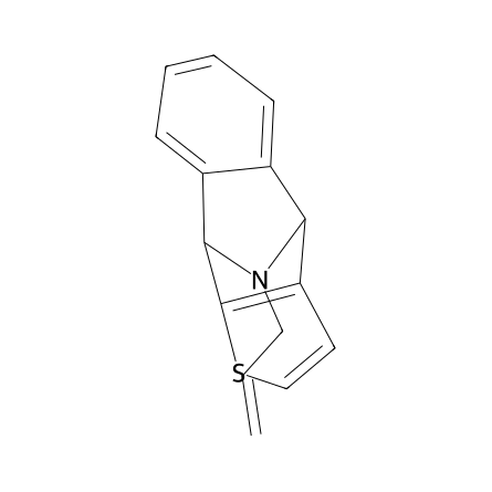 C=CCN1C2c3ccccc3C1c1sccc12